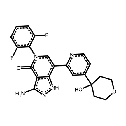 Nc1n[nH]c2c(-c3cc(C4(O)CCOCC4)ccn3)cn(-c3c(F)cccc3F)c(=O)c12